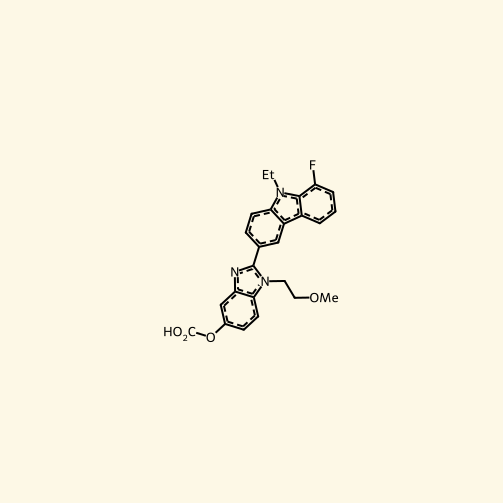 CCn1c2ccc(-c3nc4cc(OC(=O)O)ccc4n3CCOC)cc2c2cccc(F)c21